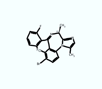 Cc1cnc2n1-c1ccc(Br)c(Cl)c1C(c1c(F)cccc1F)=N[C@H]2C